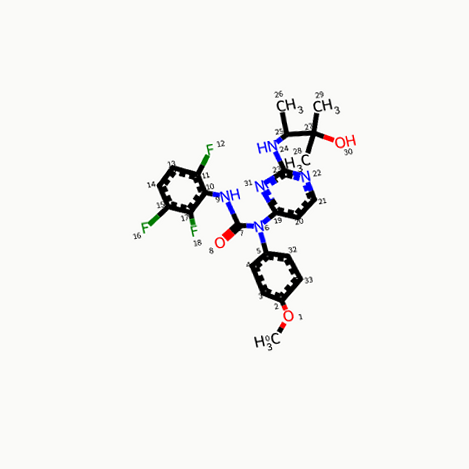 COc1ccc(N(C(=O)Nc2c(F)ccc(F)c2F)c2ccnc(NC(C)C(C)(C)O)n2)cc1